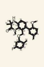 COc1ccc(C)cc1-c1ccc2c(c1COc1cc(F)ccc1C)N(C)C(=O)C(C)(C)N2